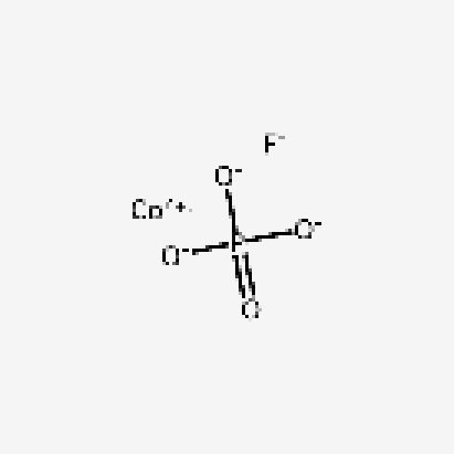 O=P([O-])([O-])[O-].[Co+4].[F-]